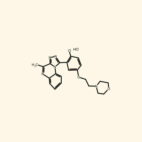 Cc1nc2ccccc2n2c(-c3cc(OCCN4CCOCC4)ccc3Cl)nnc12.Cl